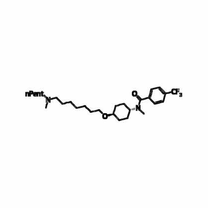 CCCCCN(C)CCCCCCCO[C@H]1CC[C@H](N(C)C(=O)c2ccc(C(F)(F)F)cc2)CC1